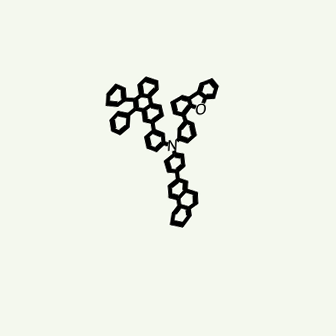 c1ccc(-c2c(-c3ccccc3)c3cc(-c4cccc(N(c5ccc(-c6ccc7c(ccc8ccccc87)c6)cc5)c5cccc(-c6cccc7c6oc6ccccc67)c5)c4)ccc3c3ccccc23)cc1